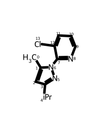 Cc1cc(C(C)C)nn1-c1ncccc1Cl